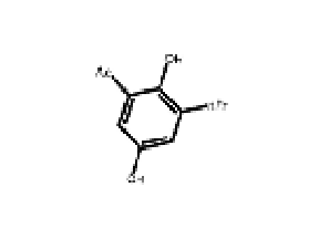 CCCc1cc(O)cc(C(C)=O)c1O